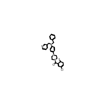 O=C(C1=CC(Cl)=CCC1=S)N1CCN(c2ccc(N(Cc3ccccc3)Cc3cccnc3)cc2)CC1